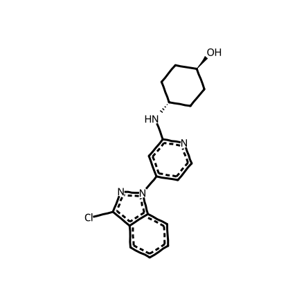 O[C@H]1CC[C@H](Nc2cc(-n3nc(Cl)c4ccccc43)ccn2)CC1